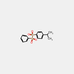 CC(C)c1ccc(S(=O)(=O)S(=O)(=O)c2ccccc2)cc1